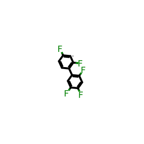 Fc1[c]c(F)c(-c2cc(F)c(F)cc2F)cc1